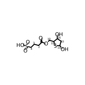 O=C(CCCS(=O)(=O)O)OCC1SC(O)CC1O